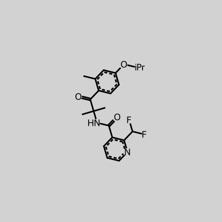 Cc1cc(OC(C)C)ccc1C(=O)C(C)(C)NC(=O)c1cccnc1C(F)F